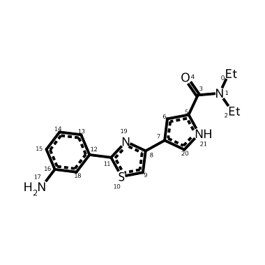 CCN(CC)C(=O)c1cc(-c2csc(-c3cccc(N)c3)n2)c[nH]1